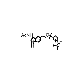 CC(=O)Nc1c[nH]c2ccc(CCOC(C)(C)C3CCN(C(F)C(F)F)C3)cc12